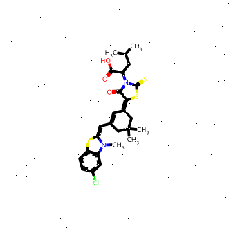 CC(C)CC(C(=O)O)N1C(=O)C(=C2C=C(C=C3Sc4ccc(Cl)cc4N3C)CC(C)(C)C2)SC1=S